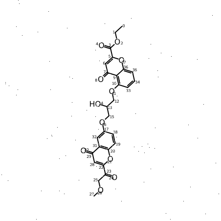 CCOC(=O)c1cc(=O)c2c(OCC(O)COc3ccc4oc(C(=O)COC)cc(=O)c4c3)cccc2o1